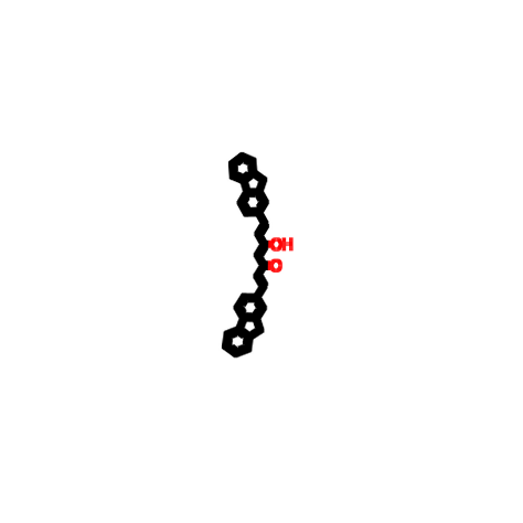 O=C(/C=C(O)/C=C/c1ccc2c(c1)Cc1ccccc1-2)/C=C/c1ccc2c(c1)Cc1ccccc1-2